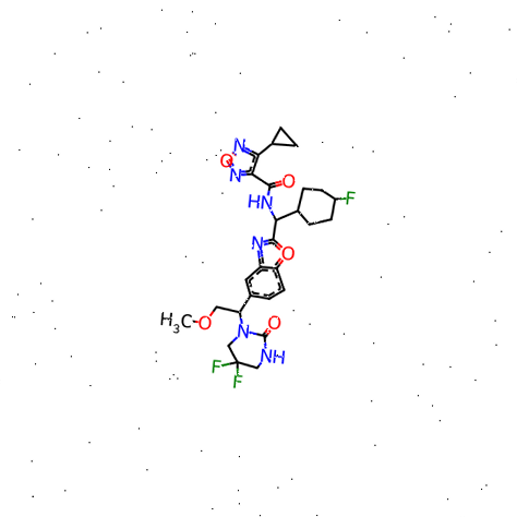 COCC(c1ccc2oc(C(NC(=O)c3nonc3C3CC3)C3CCC(F)CC3)nc2c1)N1CC(F)(F)CNC1=O